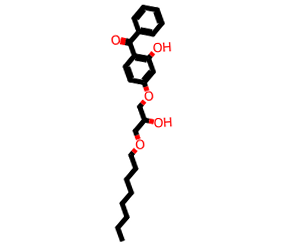 CCCCCCCCOCC(O)COc1ccc(C(=O)c2ccccc2)c(O)c1